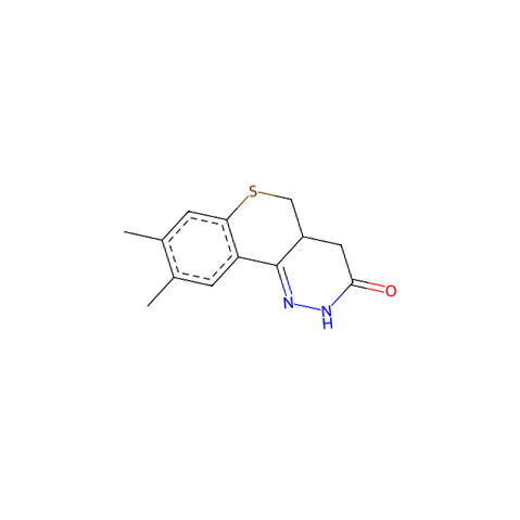 Cc1cc2c(cc1C)C1=NNC(=O)CC1CS2